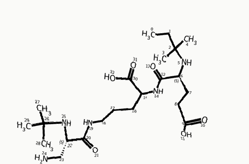 CCC(C)(C)N[C@@H](CCC(=O)O)C(=O)NC(CCCNC(=O)[C@H](CN)NC(C)(C)C)C(=O)O